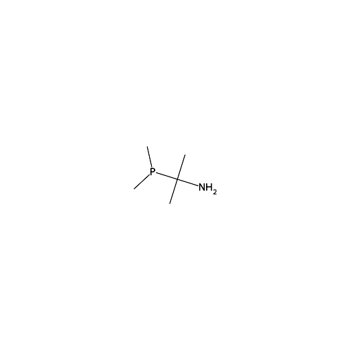 CP(C)C(C)(C)N